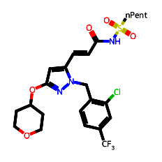 CCCCCS(=O)(=O)NC(=O)C=Cc1cc(OC2CCOCC2)nn1Cc1ccc(C(F)(F)F)cc1Cl